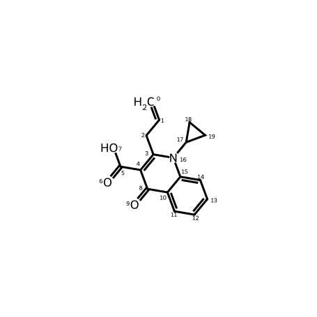 C=CCc1c(C(=O)O)c(=O)c2ccccc2n1C1CC1